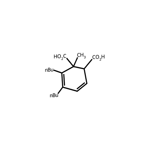 CCCCC1=C(CCCC)C(C)(C(=O)O)C(C(=O)O)C=C1